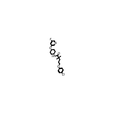 CC(C)(CCCOc1ccc(Cl)cc1)C(=O)N[C@H]1CC[C@H](Oc2cncc(F)c2)CC1